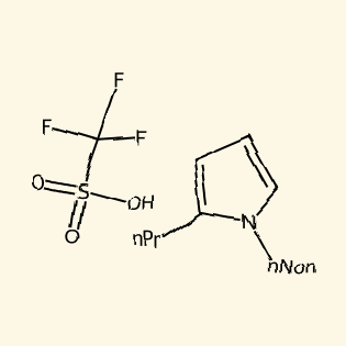 CCCCCCCCCn1cccc1CCC.O=S(=O)(O)C(F)(F)F